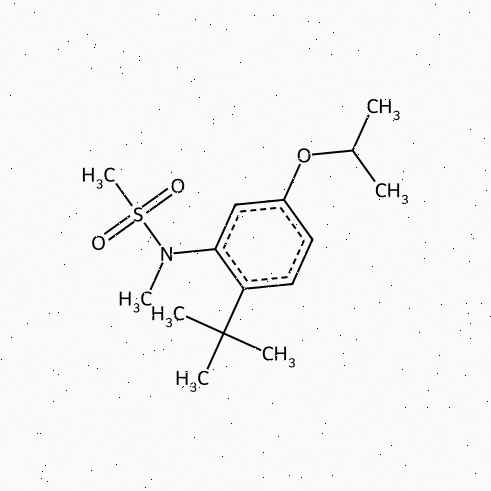 CC(C)Oc1ccc(C(C)(C)C)c(N(C)S(C)(=O)=O)c1